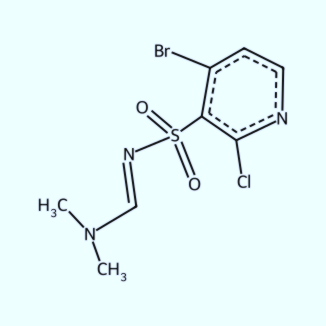 CN(C)C=NS(=O)(=O)c1c(Br)ccnc1Cl